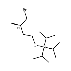 CC(C)[Si](OCC[C@@H](C)CBr)(C(C)C)C(C)C